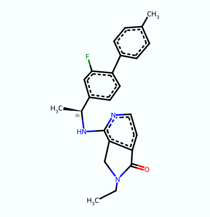 CCN1Cc2c(ccnc2N[C@@H](C)c2ccc(-c3ccc(C)cc3)c(F)c2)C1=O